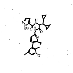 CCC(C)n1nccc1C(=O)N[C@H](C(=O)Nc1ccc(-c2cc(C)c[n+]([O-])c2C)c(F)n1)C(C1CC1)C1CC1